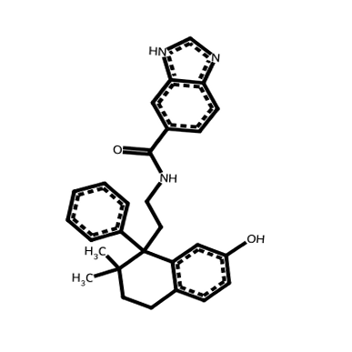 CC1(C)CCc2ccc(O)cc2C1(CCNC(=O)c1ccc2nc[nH]c2c1)c1ccccc1